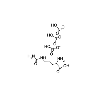 NC(=O)NCCCC(N)C(=O)O.O=[N+]([O-])O.O=[N+]([O-])O.O=[N+]([O-])O